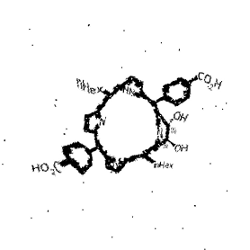 CCCCCCc1c2nc(c(-c3ccc(C(=O)O)cc3)c3ccc([nH]3)c(CCCCCC)c3nc(c(-c4ccc(C(=O)O)cc4)c4ccc1[nH]4)[C@H](O)[C@H]3O)C=C2